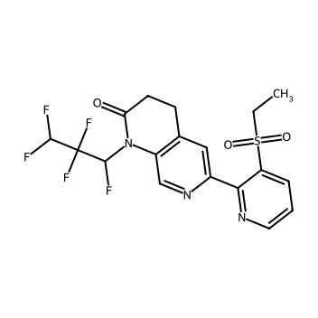 CCS(=O)(=O)c1cccnc1-c1cc2c(cn1)N(C(F)C(F)(F)C(F)F)C(=O)CC2